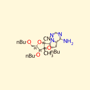 CCCCOC[C@H]1O[C@@](C#N)(c2ccc3c(N)ncnn23)[C@](C)(OCCCC)[C@@H]1OCCCC